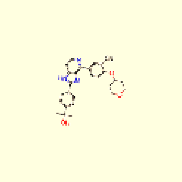 CC(C)(O)c1ccc(-c2nc3c(-c4ccc(OC5CCOCC5)c(C#N)c4)nccc3[nH]2)cc1